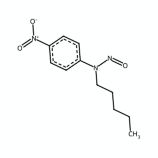 CCCCCN(N=O)c1ccc([N+](=O)[O-])cc1